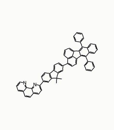 CC1(C)c2cc(-c3ccc4ccc5cccnc5c4n3)ccc2-c2ccc(-c3ccc4c5c(cccc35)-c3c-4c(-c4ccccc4)c4ccccc4c3-c3ccccc3)cc21